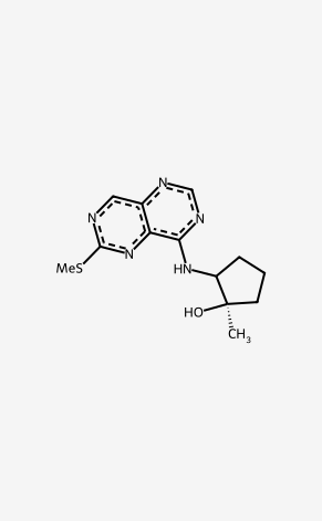 CSc1ncc2ncnc(NC3CCC[C@@]3(C)O)c2n1